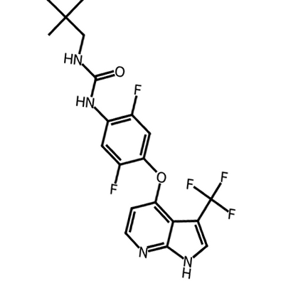 CC1(CNC(=O)Nc2cc(F)c(Oc3ccnc4[nH]cc(C(F)(F)F)c34)cc2F)COC1